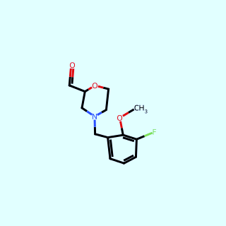 COc1c(F)cccc1CN1CCOC(C=O)C1